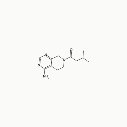 CC(C)CC(=O)N1CCc2c(N)ncnc2C1